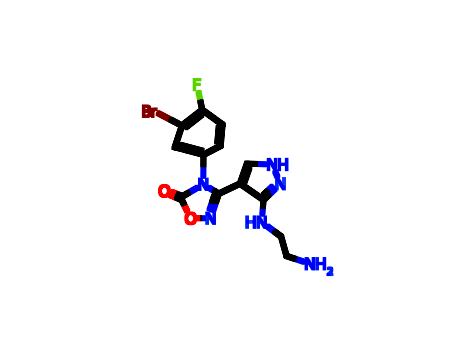 NCCNc1n[nH]cc1-c1noc(=O)n1-c1ccc(F)c(Br)c1